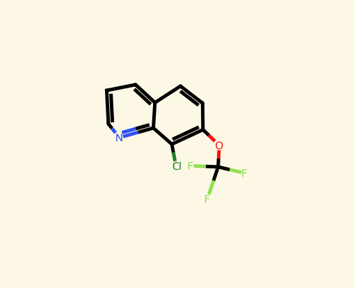 FC(F)(F)Oc1ccc2cccnc2c1Cl